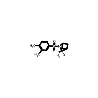 Cc1ccc(S(=O)(=O)N2C3CC(C3)[C@H]2C)cc1C